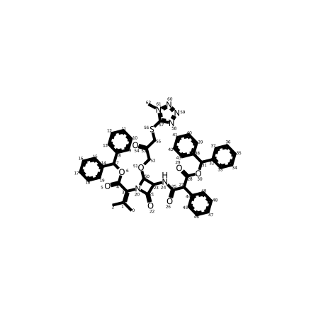 CC(C)=C(C(=O)OC(c1ccccc1)c1ccccc1)N1C(=O)C(NC(=O)C(C(=O)OC(c2ccccc2)c2ccccc2)c2ccccc2)C1OCC(=O)CSc1nnnn1C